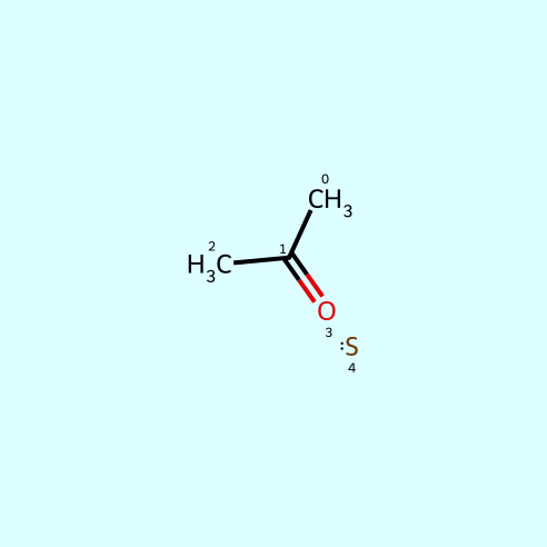 CC(C)=O.[S]